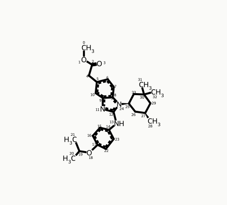 COC(=O)Cc1ccc2c(c1)nc(Nc1ccc(OC(C)C)cc1)n2[C@@H]1C[C@H](C)CC(C)(C)C1